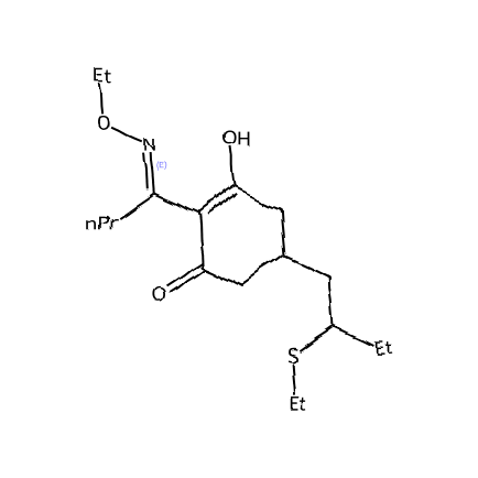 CCC/C(=N\OCC)C1=C(O)CC(CC(CC)SCC)CC1=O